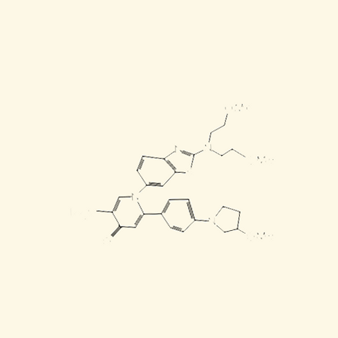 COCCN(CCOC)c1nc2ccc(-n3cc(C(=O)O)c(=O)cc3-c3ccc(N4CCC(OC)C4)cc3)cc2s1